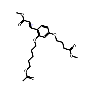 COC(=O)/C=C/c1ccc(OCCCC(=O)OC)cc1OCCCCCOC(C)=O